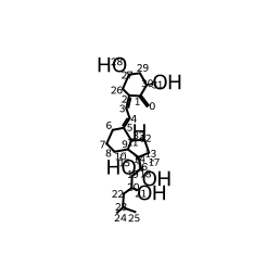 C=C1/C(=C\C=C2/CCC[C@@]3(C)[C@H]2CC[C@]3(O)[C@@](C)(O)CC(O)CC(C)C)C[C@H](O)C[C@H]1O